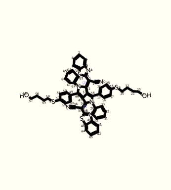 N#C/C(c1nc2ccccc2s1)=c1\c2c(-c3ccc(SCCCCO)cc3)n(-c3ccccc3)/c(=C(/C#N)c3nc4ccccc4s3)c2c(-c2ccc(SCCCCO)cc2)n1-c1ccccc1